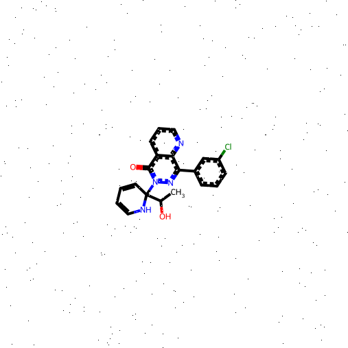 CC(O)C1(n2nc(-c3cccc(Cl)c3)c3ncccc3c2=O)C=CC=CN1